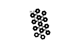 Cc1ccccc1N(c1cc2c3c(c1)N(c1ccccc1)c1cc4c(cc1B3c1ccccc1N2c1ccccc1)B1c2ccccc2N(c2ccccc2)c2cc(N(C3CCCCC3)C3CCCCC3)cc(c21)N4c1ccccc1)c1ccccc1C